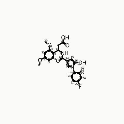 COc1ccc(C(CC(=O)O)NC(=O)c2cc(O)n(-c3ccc(F)cc3F)n2)c(OC)c1